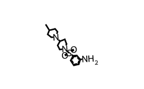 CC1CCN(C2CCN(S(=O)(=O)c3cccc(N)c3)CC2)CC1